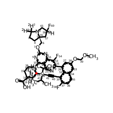 [2H]C1([2H])CC[C@@]2(COc3nc(N4CC5CCC4CN5C(=O)O)c4cnc(-c5cc(OCOC)cc6ccc(F)c(C#C[Si](C(C)C)(C(C)C)C(C)C)c56)c(F)c4n3)C[C@@]([2H])(F)CN12